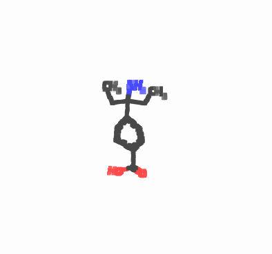 CCC(N)(CC)c1ccc(C(=O)O)cc1